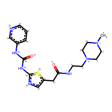 CN1CCN(CCNC(=O)Cc2cnc(NC(=O)Nc3cccnc3)s2)CC1